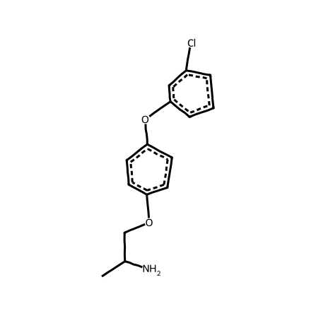 CC(N)COc1ccc(Oc2cccc(Cl)c2)cc1